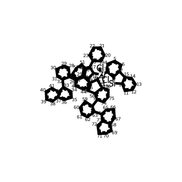 [Cl][Zr]([Cl])([c]1cccc2c1[SiH2]c1ccccc1-2)([CH]1C(c2ccccc2)=Cc2c(-c3ccccc3-c3cccc4ccccc34)cccc21)[CH]1C(c2ccccc2)=Cc2c(-c3ccccc3-c3cccc4ccccc34)cccc21